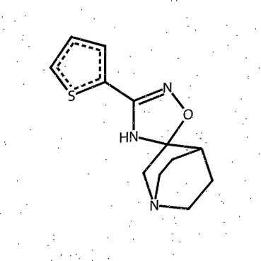 c1csc(C2=NOC3(CN4CCC3CC4)N2)c1